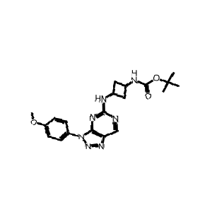 COc1ccc(-n2nnc3cnc(NC4CC(NC(=O)OC(C)(C)C)C4)nc32)cc1